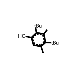 Cc1cc(O)c(C(C)(C)C)c(C)c1C(C)(C)C